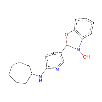 ON1c2ccccc2OC1c1ccc(NC2CCCCCC2)nc1